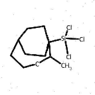 CC1CCCC2CCC1([Si](Cl)(Cl)Cl)CC2